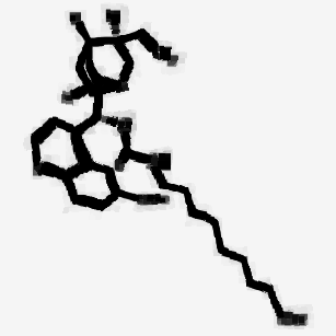 C=C[C@H]1CN2CC[C@H]1C[C@H]2[C@H](OC(=O)NCCCCCCCCCCCCCCCCCC)c1ccnc2ccc(OC)cc12